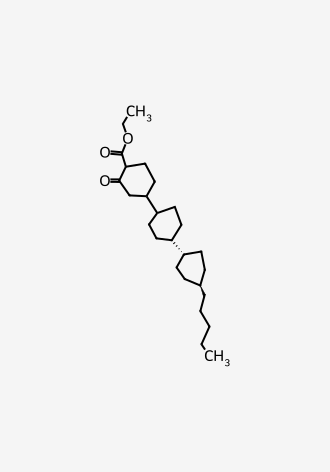 CCCCC[C@H]1CC[C@H](C2CCC(C3CCC(C(=O)OCC)C(=O)C3)CC2)CC1